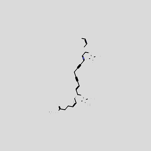 CC/C=C\C[C@@H](/C=C/C#CCC#C/C=C/[C@H](C/C=C\CCC(=O)OC)O[Si](C)(C)C(C)(C)C)O[Si](C)(C)C(C)(C)C